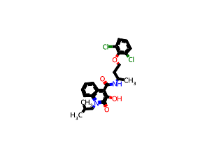 CC(C)Cn1c(=O)c(O)c(C(=O)NC(C)CCOc2c(Cl)cccc2Cl)c2ccccc21